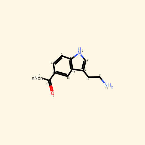 CCCCCCCCCC(=O)c1ccc2[nH]cc(CCN)c2c1